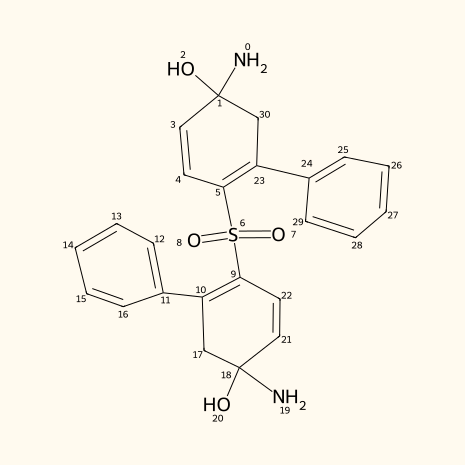 NC1(O)C=CC(S(=O)(=O)C2=C(c3ccccc3)CC(N)(O)C=C2)=C(c2ccccc2)C1